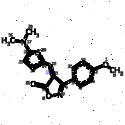 COc1ccc(C2=NOC(=O)/C2=C\c2ccc(N(C)C)s2)cc1